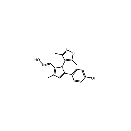 Cc1cc(-c2ccc(O)cc2)n(-c2c(C)noc2C)c1C=NO